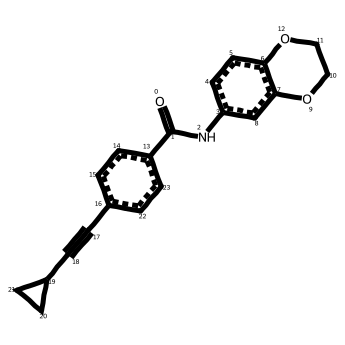 O=C(Nc1ccc2c(c1)OCCO2)c1ccc(C#CC2CC2)cc1